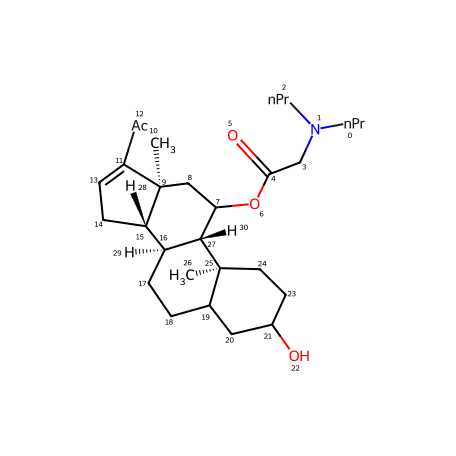 CCCN(CCC)CC(=O)OC1C[C@]2(C)C(C(C)=O)=CC[C@H]2[C@@H]2CCC3CC(O)CC[C@]3(C)[C@@H]12